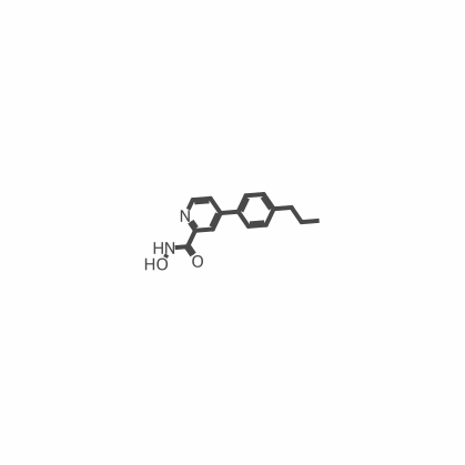 CCCc1ccc(-c2ccnc(C(=O)NO)c2)cc1